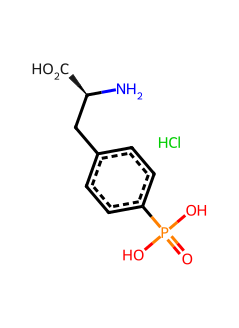 Cl.N[C@@H](Cc1ccc(P(=O)(O)O)cc1)C(=O)O